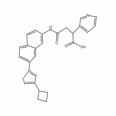 O=C(CC(C(=O)O)c1cccnc1)Nc1ccc2ccc(-c3nc(C4CCC4)cs3)cc2c1